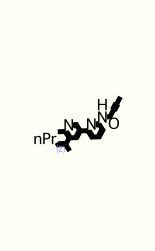 CC#CC(=O)Nc1cccc(-c2cnc(C)c(/C(C)=C\CCC)c2)n1